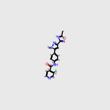 Cc1nc(-c2cc(-c3ccc(NC(=O)c4ccncc4F)cc3)n(C)n2)no1